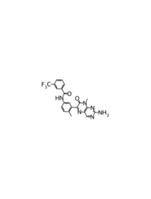 Cc1ccc(NC(=O)c2cccc(C(F)(F)F)c2)cc1-c1nc2cnc(N)nc2n(C)c1=O